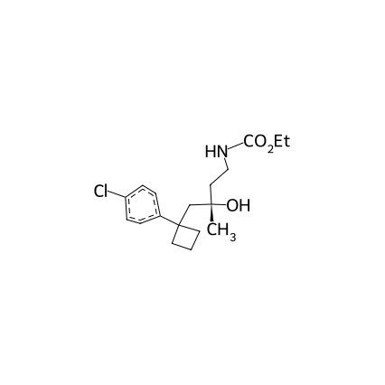 CCOC(=O)NCC[C@](C)(O)CC1(c2ccc(Cl)cc2)CCC1